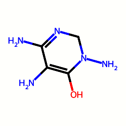 NC1=NCN(N)C(O)=C1N